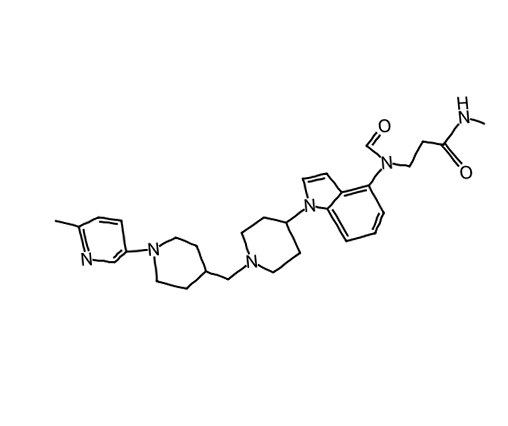 CNC(=O)CCN(C=O)c1cccc2c1ccn2C1CCN(CC2CCN(c3ccc(C)nc3)CC2)CC1